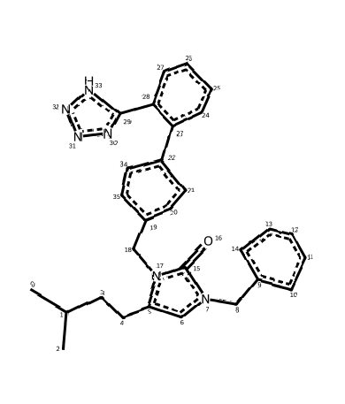 CC(C)CCc1cn(Cc2ccccc2)c(=O)n1Cc1ccc(-c2ccccc2-c2nnn[nH]2)cc1